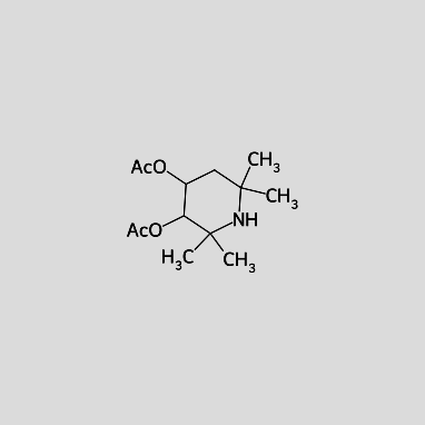 CC(=O)OC1CC(C)(C)NC(C)(C)C1OC(C)=O